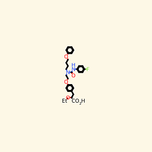 CCOC(Cc1ccc(OCCN(CCCCOc2ccccc2)C(=O)Nc2ccc(F)cc2)cc1)C(=O)O